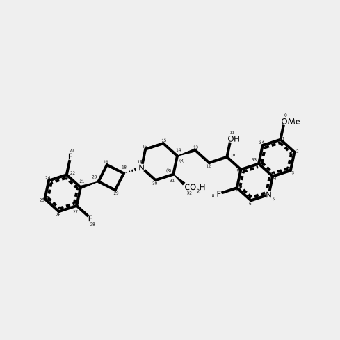 COc1ccc2ncc(F)c(C(O)CC[C@@H]3CCN([C@H]4C[C@H](c5c(F)cccc5F)C4)C[C@@H]3C(=O)O)c2c1